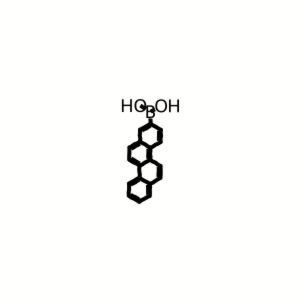 OB(O)c1ccc2c(ccc3c4ccccc4ccc23)c1